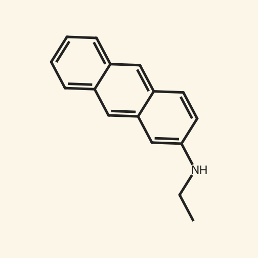 CCNc1ccc2cc3ccccc3cc2c1